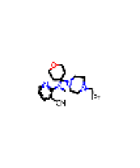 CC(C)CN1CCN(C2(N(C)c3ncccc3C#N)CCOCC2)CC1